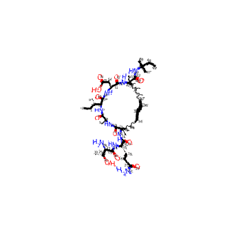 CC[C@H](C)[C@@H]1NC(=O)[C@H](C)NC(=O)[C@@](C)(NC(=O)[C@H](CCC(N)=O)NC(=O)[C@H](N)[C@@H](C)O)CCC/C=C/CCC[C@@](C)(C(=O)NC(C)(C)CC)NC(=O)[C@H](CC(=O)O)NC1=O